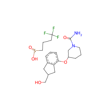 NC(=O)N1CCCC(Oc2cccc3c2CC(CO)C3)C1.O=S(O)CCCC(F)(F)F